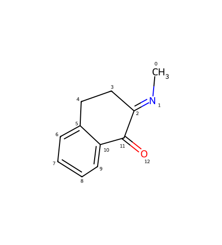 C/N=C1\CCc2ccccc2C1=O